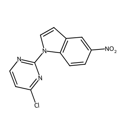 O=[N+]([O-])c1ccc2c(ccn2-c2nccc(Cl)n2)c1